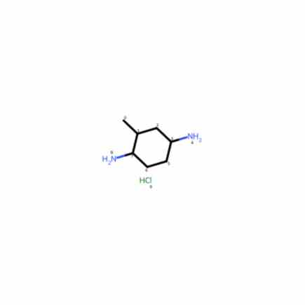 CC1CC(N)CCC1N.Cl